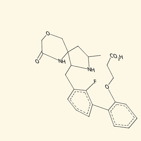 CC1CC2(COCC(=O)N2)C(Cc2cccc(-c3ccccc3OCCC(=O)O)c2F)N1